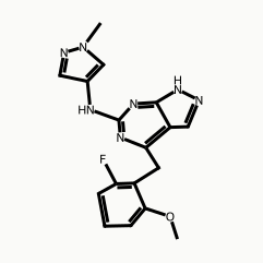 COc1cccc(F)c1Cc1nc(Nc2cnn(C)c2)nc2[nH]ncc12